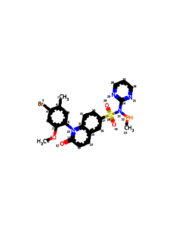 COc1cc(Br)c(C)cc1-n1c(=O)ccc2cc(S(=O)(=O)N(PC)c3ncccn3)ccc21